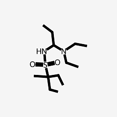 CCC(NS(=O)(=O)C(C)(CC)CC)N(CC)CC